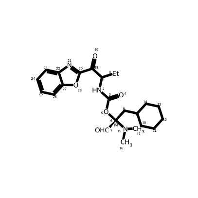 CCC(NC(=O)O[C@](C=O)(CC1CCCCC1)N(C)C)C(=O)c1nc2ccccc2o1